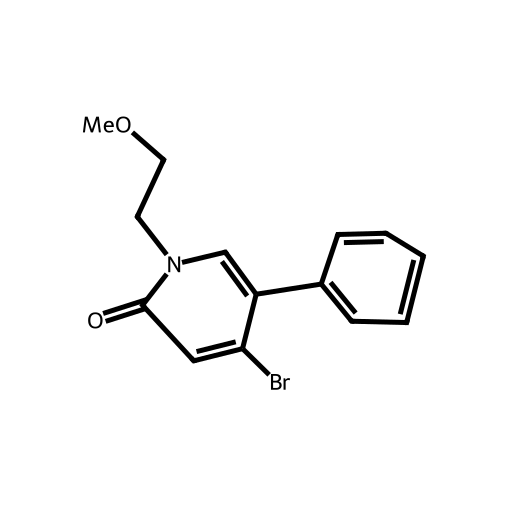 COCCn1cc(-c2ccccc2)c(Br)cc1=O